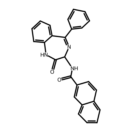 O=C(NC1N=C(c2ccccc2)c2ccccc2NC1=O)c1ccc2ccccc2c1